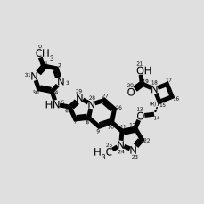 Cc1cnc(Nc2cc3cc(-c4c(OC[C@H]5CCN5C(=O)O)cnn4C)ccn3n2)cn1